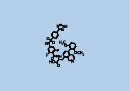 COc1cccc(OC)c1-c1ccc(CC(NC(=O)c2c(F)cc(NS(=O)(=O)c3ccc(-c4nc[nH]n4)cc3)cc2F)C(=O)O)c2cnccc12